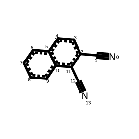 N#Cc1c[c]c2ccccc2c1C#N